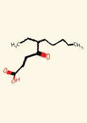 CCCCCC(CC)C(=O)CCC(=O)O